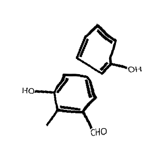 Cc1c(O)cccc1C=O.Oc1ccccc1